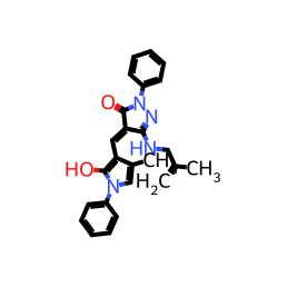 C=C(C)CNC1=NN(c2ccccc2)C(=O)/C1=C/c1c(C)cn(-c2ccccc2)c1O